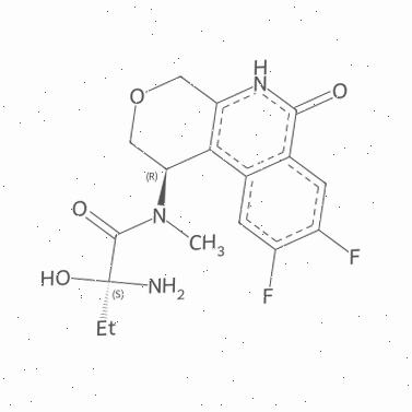 CC[C@](N)(O)C(=O)N(C)[C@H]1COCc2[nH]c(=O)c3cc(F)c(F)cc3c21